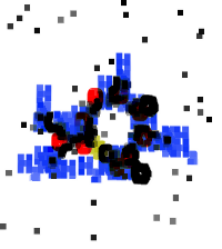 C[C@H]1NC(=O)[C@@H](NC(=O)[C@H](CCCNC(=N)N)NC(=O)[C@@H](N)Cc2c[nH]cn2)CSSC[C@@H](C(N)=O)NC(=O)[C@H](Cc2c[nH]c3ccccc23)NC(=O)[C@H](CCCNC(=N)N)NC(=O)[C@@H](Cc2ccccc2)NC(=O)[C@H](Cc2c[nH]cn2)NC1=O